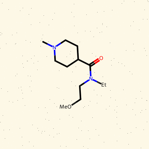 CCN(CCOC)C(=O)C1CCN(C)CC1